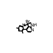 Cc1ccc(-c2ccnc3c2C(Br)(C#N)CN3)c(C)c1